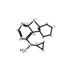 CN(c1ncnc2sc3c(c12)CCCC3)C1CC1